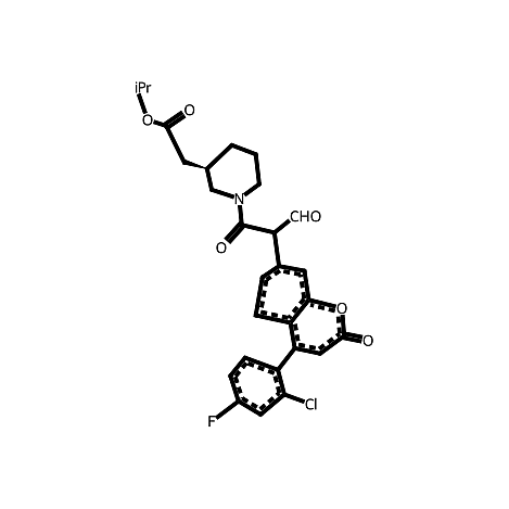 CC(C)OC(=O)C[C@H]1CCCN(C(=O)C(C=O)c2ccc3c(-c4ccc(F)cc4Cl)cc(=O)oc3c2)C1